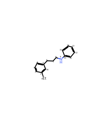 CCc1cccc(CCCNc2cc[c]cc2)c1